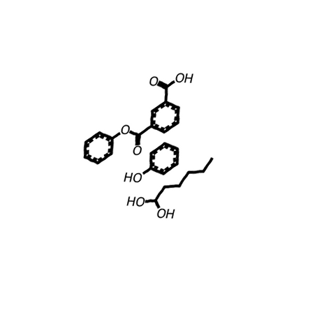 CCCCCC(O)O.O=C(O)c1cccc(C(=O)Oc2ccccc2)c1.Oc1ccccc1